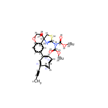 CC#CC1=C/C(c2ccc3c(c2)C2(CSC(N(C(=O)OC(C)(C)C)C(=O)OC(C)(C)C)=N2)C2(COC2)CO3)=C\C=C\C=C\1